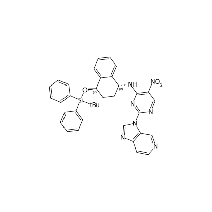 CC(C)(C)[Si](O[C@@H]1CC[C@@H](Nc2nc(-n3cnc4ccncc43)ncc2[N+](=O)[O-])c2ccccc21)(c1ccccc1)c1ccccc1